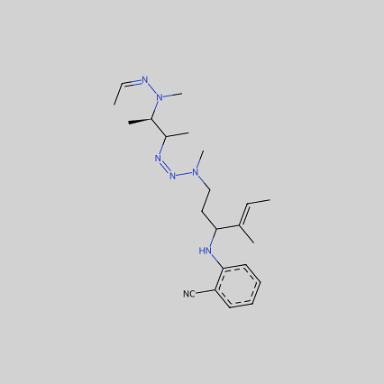 C/C=N\N(C)[C@H](C)C(C)/N=N\N(C)CCC(Nc1ccccc1C#N)/C(C)=C/C